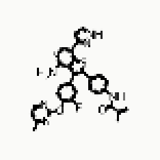 C=C(C)C(=O)Nc1ccc(-c2sc3c(-c4cc[nH]n4)cnc(N)c3c2-c2ccc(Oc3nccc(C)n3)c(F)c2)cc1